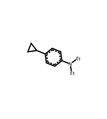 CCN(CC)c1ccc(C2CC2)cc1